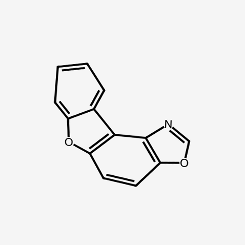 c1ccc2c(c1)oc1ccc3ocnc3c12